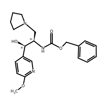 COc1ccc([C@@H](O)[C@@H](CN2CCCC2)NC(=O)OCc2ccccc2)cn1